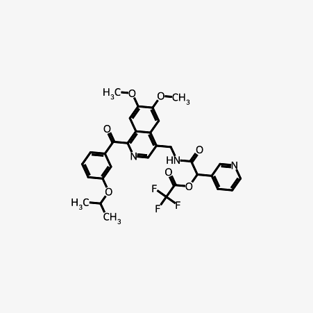 COc1cc2c(CNC(=O)C(OC(=O)C(F)(F)F)c3cccnc3)cnc(C(=O)c3cccc(OC(C)C)c3)c2cc1OC